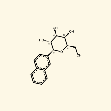 OC[C@H]1O[C@@H](c2ccc3[c]cccc3c2)[C@H](O)[C@@H](O)[C@H]1O